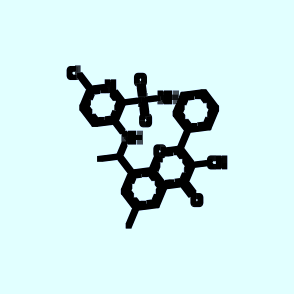 Cc1cc(C(C)Nc2ccc(Cl)nc2S(N)(=O)=O)c2oc(-c3ccccc3)c(C#N)c(=O)c2c1